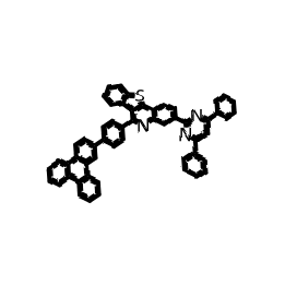 c1ccc(-c2cc(-c3ccccc3)nc(-c3ccc4c(c3)nc(-c3ccc(-c5ccc6c7ccccc7c7ccccc7c6c5)cc3)c3c5ccccc5sc43)n2)cc1